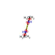 C=C(C)C(=O)OCCNC(=O)OCCSCCSCCOC(=O)NCCOC(=O)C(=C)C